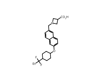 CCC(F)(F)C1CCC(Oc2ccc3cc(CN4CC(C(=O)O)C4)ccc3c2)CC1